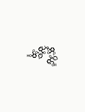 C[C@H](O)Cc1ncccc1C(=O)N1CCSC[C@H]1COc1cccc(OO[C@H](C)Cc2ncccc2C(=O)N2CCSC[C@H]2COc2cccc(O)c2C=O)c1C=O